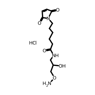 Cl.NOCC(O)CNC(=O)CCCCCN1C(=O)C=CC1=O